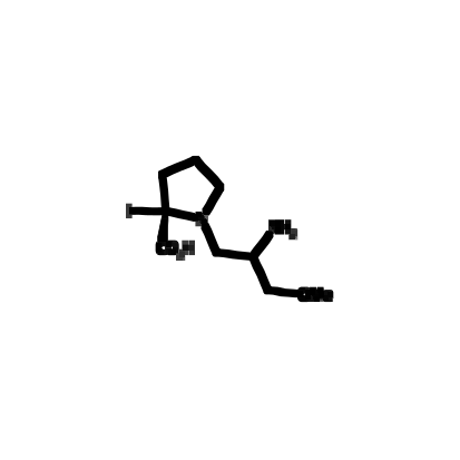 COCC(N)CN1CCC[C@]1(I)C(=O)O